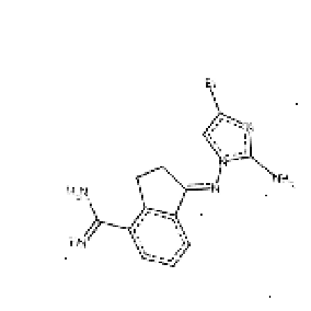 CCc1cn(N=C2CCc3c(C(=N)N)cccc32)c(N)n1